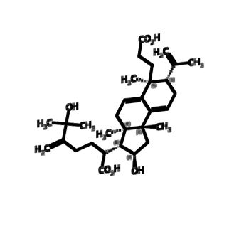 C=C(C)[C@@H]1CC=C2C(=CC[C@]3(C)[C@@H](C(CCC(=C)C(C)(C)O)C(=O)O)[C@H](O)C[C@@]23C)[C@@]1(C)CCC(=O)O